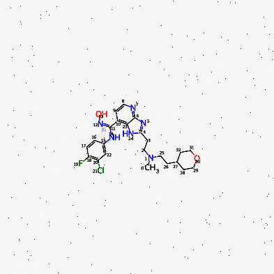 CN(CCc1nc2nccc(/C(=N\O)Nc3ccc(F)c(Cl)c3)c2[nH]1)CCC1CCOCC1